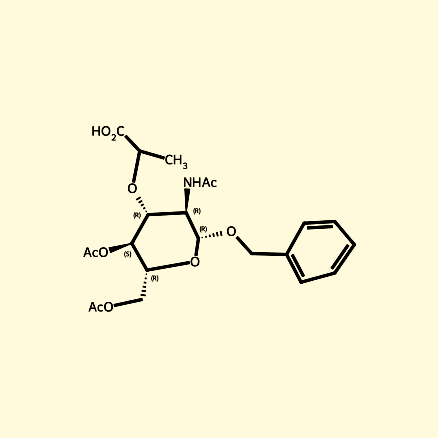 CC(=O)N[C@H]1[C@H](OCc2ccccc2)O[C@H](COC(C)=O)[C@@H](OC(C)=O)[C@@H]1OC(C)C(=O)O